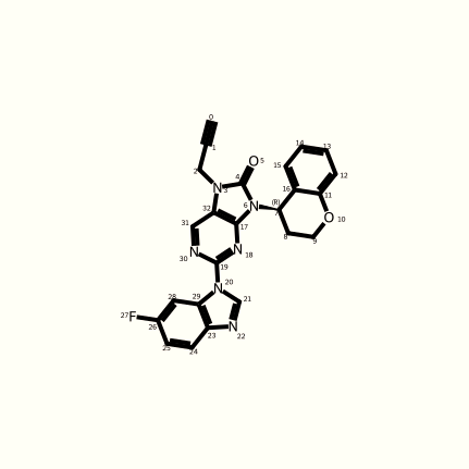 C#CCn1c(=O)n([C@@H]2CCOc3ccccc32)c2nc(-n3cnc4ccc(F)cc43)ncc21